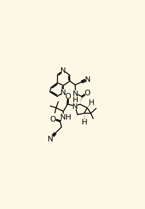 CC(C)(C)C(NC(=O)CC#N)C(=O)N1C[C@H]2[C@@H]([C@H]1C(=O)NC(C#N)c1cncc3cccnc13)C2(C)C